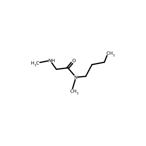 CCCCN(C)C(=O)CNC